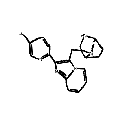 Clc1ccc(-c2nc3ccccn3c2CN2CC3CCC2CN3)nc1